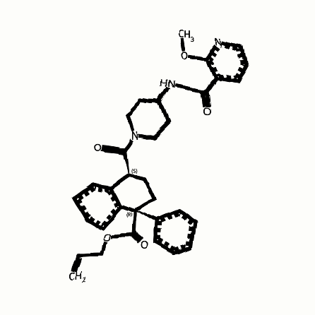 C=CCOC(=O)[C@@]1(c2ccccc2)CC[C@H](C(=O)N2CCC(NC(=O)c3cccnc3OC)CC2)c2ccccc21